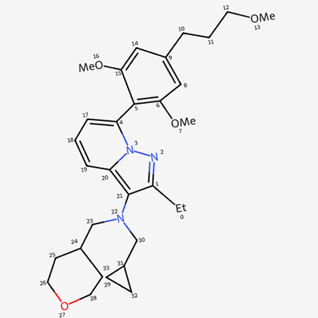 CCc1nn2c(-c3c(OC)cc(CCCOC)cc3OC)cccc2c1N(CC1CCOCC1)CC1CC1